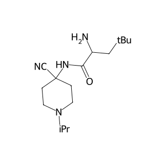 CC(C)N1CCC(C#N)(NC(=O)C(N)CC(C)(C)C)CC1